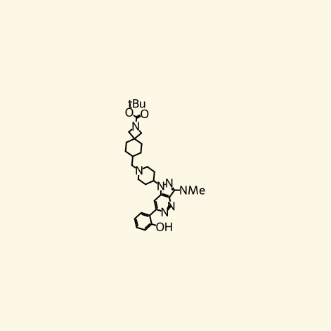 CNc1nn(C2CCN(CC3CCC4(CC3)CN(C(=O)OC(C)(C)C)C4)CC2)c2cc(-c3ccccc3O)nnc12